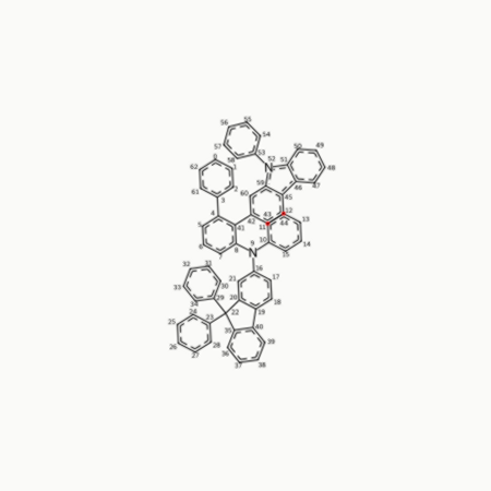 c1ccc(-c2cccc(N(c3ccccc3)c3ccc4c(c3)C(c3ccccc3)(c3ccccc3)c3ccccc3-4)c2-c2ccc3c4ccccc4n(-c4ccccc4)c3c2)cc1